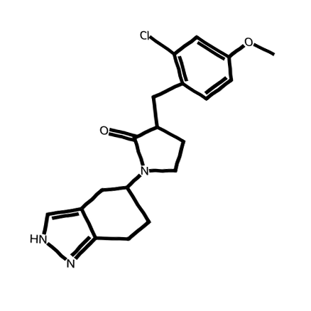 COc1ccc(CC2CCN(C3CCc4n[nH]cc4C3)C2=O)c(Cl)c1